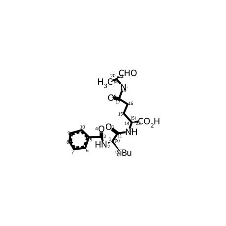 CC[C@H](C)[C@H](NC(=O)c1ccccc1)C(=O)N[C@@H](CCC(=O)[N][C@@H](C)C=O)C(=O)O